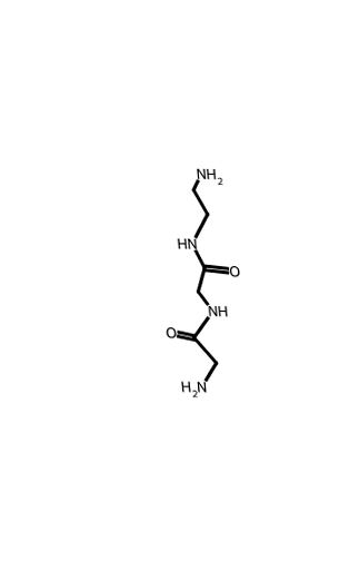 NCCNC(=O)CNC(=O)CN